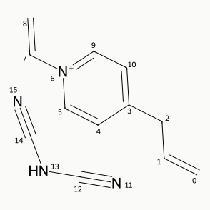 C=CCc1cc[n+](C=C)cc1.N#CNC#N